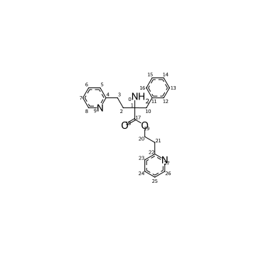 NC(CCc1ccccn1)(Cc1ccccc1)C(=O)OCCc1ccccn1